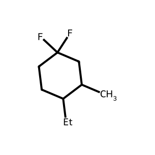 CCC1CCC(F)(F)CC1C